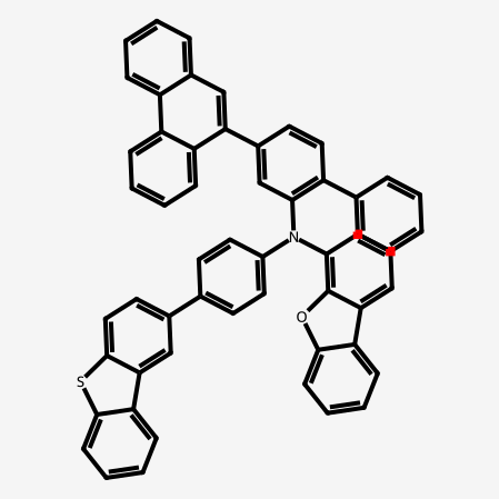 c1ccc(-c2ccc(-c3cc4ccccc4c4ccccc34)cc2N(c2ccc(-c3ccc4sc5ccccc5c4c3)cc2)c2cccc3c2oc2ccccc23)cc1